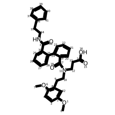 COc1ccc(OC)c(CCN(CCC(=O)O)C(=O)c2ccccc2-c2ccccc2C(=O)NCCc2ccccc2)c1